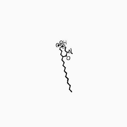 CCCCCCCCCCCCC(CCCS(=O)(=O)O)C(=O)C(CC)N(C)C